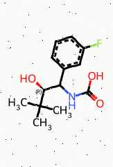 CC(C)(C)[C@@H](O)C(NC(=O)O)c1cccc(F)c1